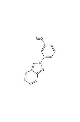 COc1cccc(-n2cc3ccccc3n2)c1